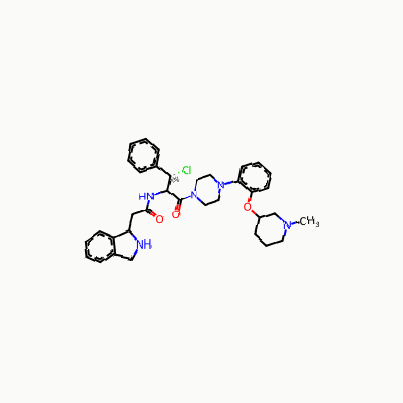 CN1CCCC(Oc2ccccc2N2CCN(C(=O)C(NC(=O)CC3NCc4ccccc43)[C@@H](Cl)c3ccccc3)CC2)C1